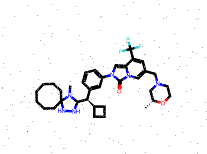 C[C@@H]1CN(Cc2cc(C(F)(F)F)c3cn(-c4cccc([C@@H](C5CCC5)C5NNC6(CCCCCCC6)N5C)c4)c(=O)n3c2)CCO1